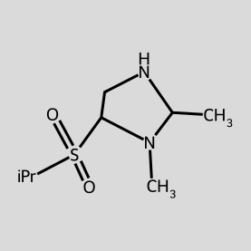 CC1NCC(S(=O)(=O)C(C)C)N1C